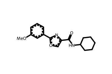 COc1cccc(-c2nc(C(=O)NC3CCCCC3)co2)c1